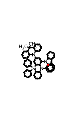 CC1(C)c2ccccc2N(c2cc(-n3c4ccccc4c4ccccc43)c3c(c2)[Si](c2ccccc2)(c2ccccc2)c2ccccc2N3c2ccccc2)c2ccccc21